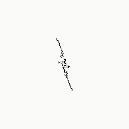 CCCCCCCCCCCCOC(=O)CCCC(C)(C)c1cc(O)c(C(C)(C)CCCC(=O)OCCCCCCCCCCCC)cc1O